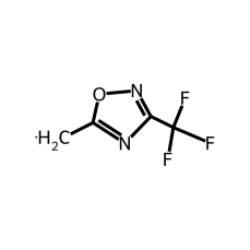 [CH2]c1nc(C(F)(F)F)no1